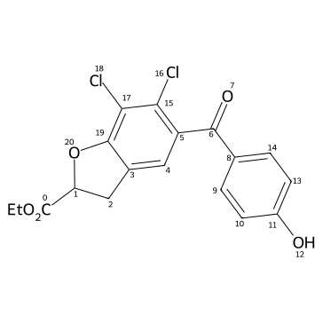 CCOC(=O)C1Cc2cc(C(=O)c3ccc(O)cc3)c(Cl)c(Cl)c2O1